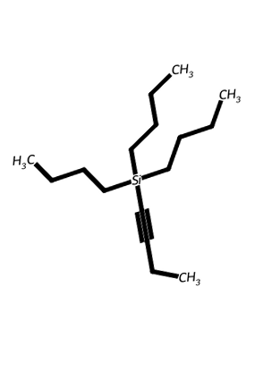 CCC#C[Si](CCCC)(CCCC)CCCC